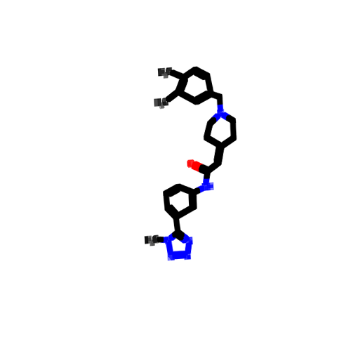 Cc1ccc(CN2CCC(=CC(=O)Nc3cccc(-c4nnnn4C)c3)CC2)cc1C